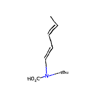 CC=C/C=C/N(C(=O)O)C(C)(C)C